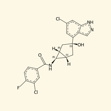 O=C(N[C@H]1[C@@H]2C[C@](O)(c3cc(Cl)cc4[nH]ncc34)C[C@@H]21)c1ccc(F)c(Cl)c1